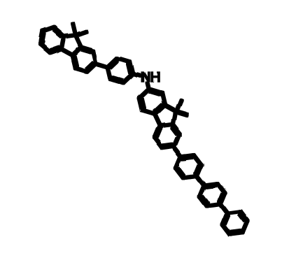 CC1(C)c2ccccc2-c2ccc(-c3ccc(Nc4ccc5c(c4)C(C)(C)c4cc(-c6ccc(-c7ccc(-c8ccccc8)cc7)cc6)ccc4-5)cc3)cc21